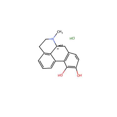 CN1CCc2cccc3c2[C@H]1Cc1ccc(O)c(O)c1-3.Cl